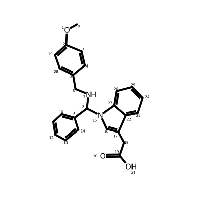 COc1ccc(CNC(c2ccccc2)n2cc(CC(=O)O)c3ccccc32)cc1